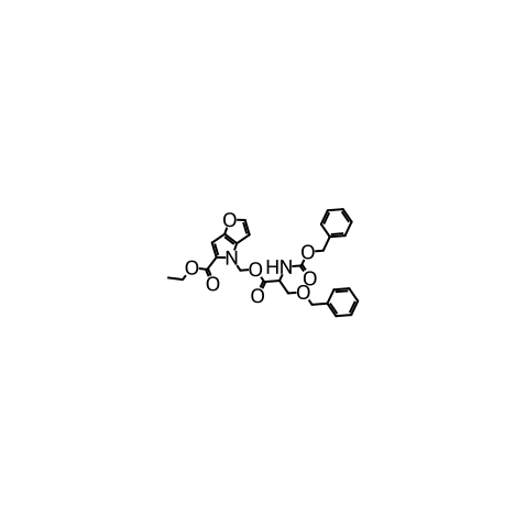 CCOC(=O)c1cc2occc2n1COC(=O)C(COCc1ccccc1)NC(=O)OCc1ccccc1